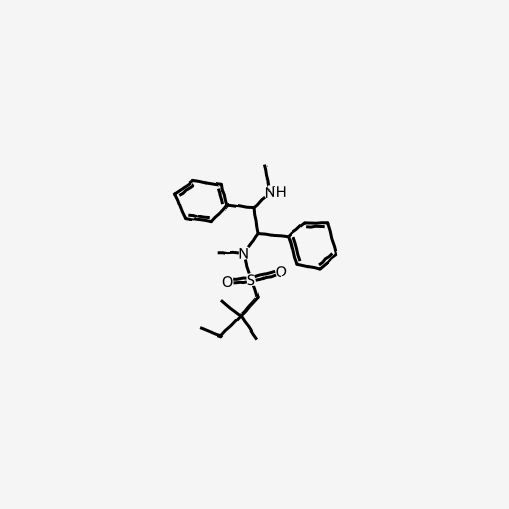 CCC(C)(C)CS(=O)(=O)N(C)C(c1ccccc1)C(NC)c1ccccc1